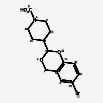 O=C(O)N1CCC(C2OCc3cc(Br)ccc3O2)CC1